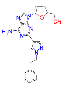 Nc1nc(-c2cnn(CCc3ccccc3)c2)nc2c1ncn2C1[CH]CC(CO)O1